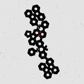 CC1(C)c2cc(-c3ccc(-c4ccccc4N(c4ccc5c(c4)C4(CCCC4)c4ccccc4-5)c4ccc5c(c4)C4(c6ccccc6-c6ccccc64)c4ccccc4-5)cc3)ccc2N(c2ccccc2)c2ccc(-c3ccc4c(c3)C3(c5ccccc5-c5ccccc53)c3ccccc3-4)cc21